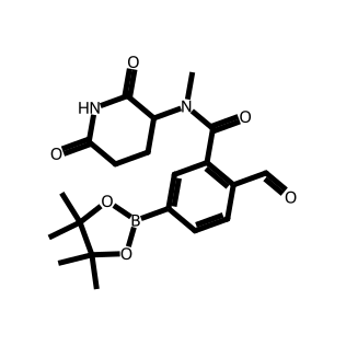 CN(C(=O)c1cc(B2OC(C)(C)C(C)(C)O2)ccc1C=O)C1CCC(=O)NC1=O